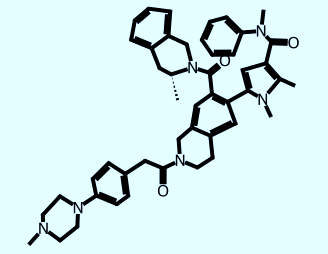 Cc1c(C(=O)N(C)c2ccccc2)cc(-c2cc3c(cc2C(=O)N2Cc4ccccc4C[C@H]2C)CN(C(=O)Cc2ccc(N4CCN(C)CC4)cc2)CC3)n1C